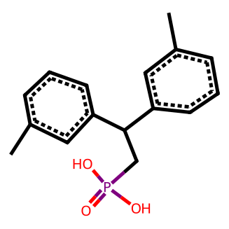 Cc1cccc(C(CP(=O)(O)O)c2cccc(C)c2)c1